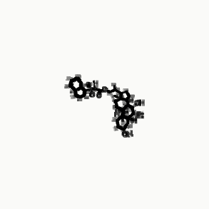 CC[C@H]1[C@@H](O)[C@@H]2[C@H](CC[C@]3(C)[C@@H]([C@H](C)COC(=O)NS(=O)(=O)c4cccc5ccccc45)CC[C@@H]23)[C@@]2(C)CC[C@@H](O)C[C@@H]12